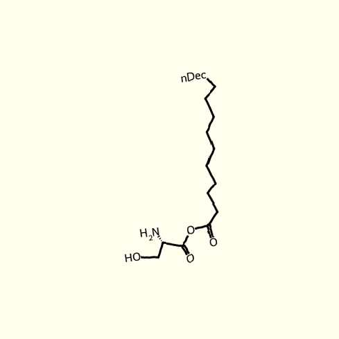 CCCCCCCCCCCCCCCCCCCC(=O)OC(=O)[C@@H](N)CO